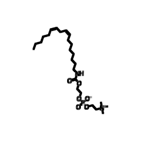 CCCCC/C=C\C/C=C\CCCCCCCNC(=O)OCCOP(=O)([O-])OCC[N+](C)(C)C